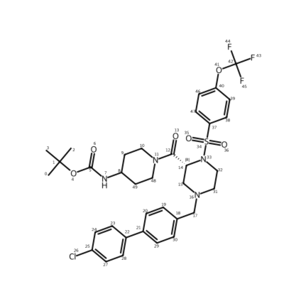 CC(C)(C)OC(=O)NC1CCN(C(=O)[C@H]2CN(Cc3ccc(-c4ccc(Cl)cc4)cc3)CCN2S(=O)(=O)c2ccc(OC(F)(F)F)cc2)CC1